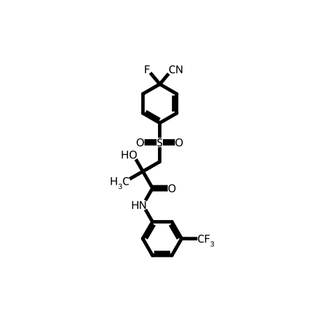 CC(O)(CS(=O)(=O)C1=CCC(F)(C#N)C=C1)C(=O)Nc1cccc(C(F)(F)F)c1